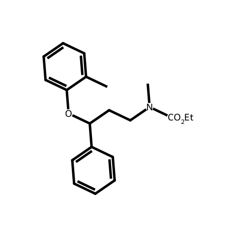 CCOC(=O)N(C)CCC(Oc1ccccc1C)c1ccccc1